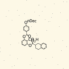 CCCCCCCCCCOc1ccc(C(=O)Oc2cccc(OC(=O)C3CCc4ccccc4C3)c2C(=O)O)cc1